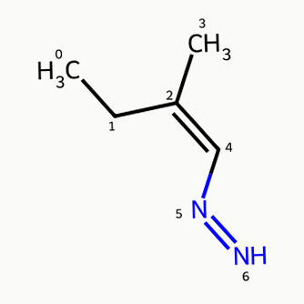 CC/C(C)=C\N=N